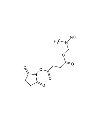 CN(COC(=O)CCC(=O)ON1C(=O)CCC1=O)N=O